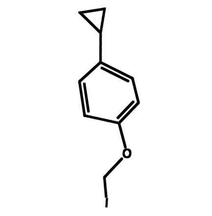 ICOc1ccc(C2CC2)cc1